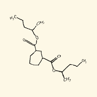 CCCC(C)OC(=O)C1CCCC(C(=O)OC(C)CCC)C1